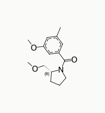 COC[C@H]1CCCN1C(=O)c1cc(C)cc(OC)c1